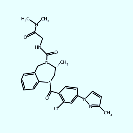 Cc1ccn(-c2ccc(C(=O)N3C[C@@H](C)N(C(=O)NCC(=O)N(C)C)Cc4ccccc43)c(Cl)c2)n1